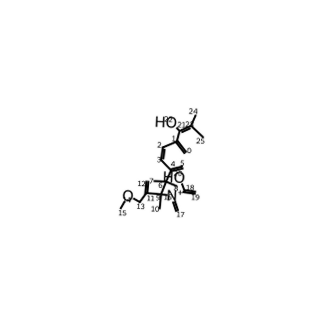 C=C(/C=C\C(=C)C(C)(C)C(C)(C(=C)COC)[N+](=C)C(=C)O)C(O)=C(C)C